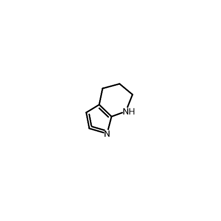 C1=CC2=C(N=1)NCCC2